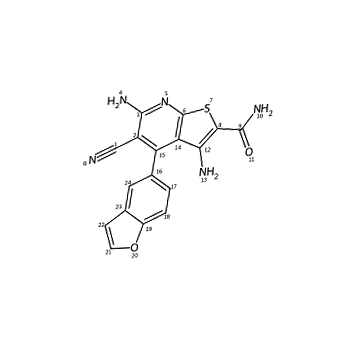 N#Cc1c(N)nc2sc(C(N)=O)c(N)c2c1-c1ccc2occc2c1